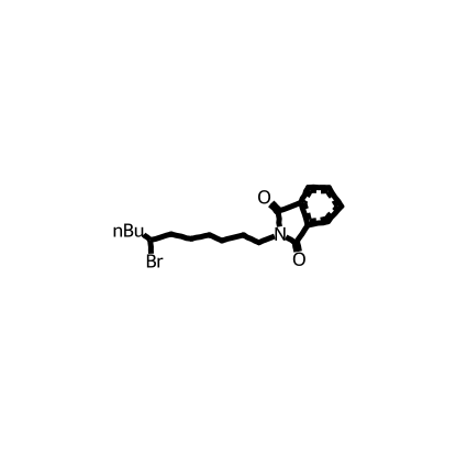 CCCCC(Br)CCCCCCN1C(=O)c2ccccc2C1=O